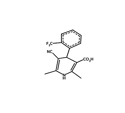 CC1=C(C#N)C(c2ccccc2C(F)(F)F)C(C(=O)O)=C(C)N1